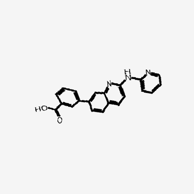 O=C(O)c1cccc(-c2ccc3ccc(Nc4ccccn4)nc3c2)c1